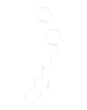 O=C(Nc1nc2ccc(-c3ccncc3)cc2s1)c1ccc2c(c1)OCCO2